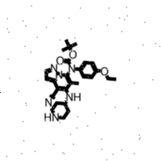 CCOc1ccc(N(C(=O)OC(C)(C)C)c2c(C)c(NC3CCNCC3)c(C#N)c3ccnn23)cc1